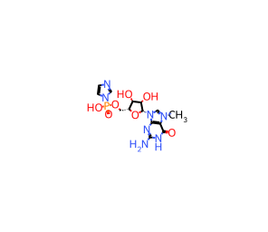 C[n+]1cn([C@@H]2O[C@H](COP(=O)(O)n3ccnc3)[C@@H](O)[C@H]2O)c2nc(N)[nH]c(=O)c21